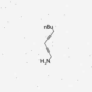 CCCCCC#CCC#CCN